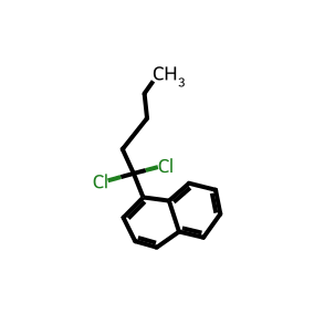 CCCCC(Cl)(Cl)c1cccc2ccccc12